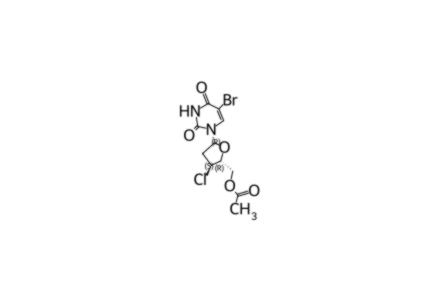 CC(=O)OC[C@H]1O[C@@H](n2cc(Br)c(=O)[nH]c2=O)C[C@@H]1Cl